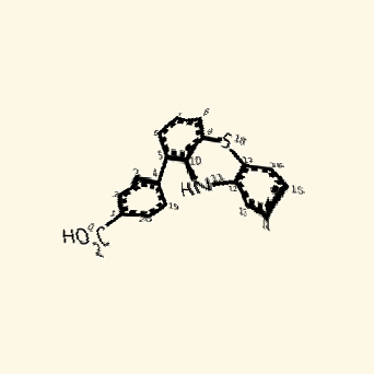 O=C(O)c1ccc(-c2cccc3c2Nc2ccccc2S3)cc1